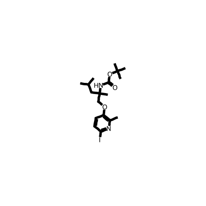 Cc1nc(I)ccc1OCC(C)(CC(C)C)NC(=O)OC(C)(C)C